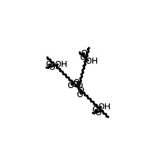 CCCCCC(OC(=O)CC)C(O)CC=CCCCCCCCC(=O)OCC(COC(=O)CCCCCCCC=CCC(O)C(CCCCC)OC(=O)CC)OC(=O)CCCCCCCC=CCC(O)C(CCCCC)OC(=O)CC